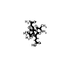 CC(N)C(=O)N(C(=O)C(N)CCC(=O)O)C(CCC(N)=O)(C(=O)O)C(=O)C(C)N